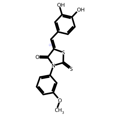 COc1cccc(N2C(=O)/C(=C/c3ccc(O)c(O)c3)SC2=S)c1